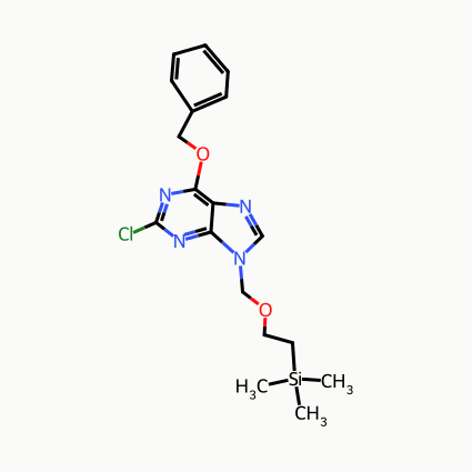 C[Si](C)(C)CCOCn1cnc2c(OCc3ccccc3)nc(Cl)nc21